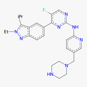 CCn1nc2ccc(-c3nc(Nc4ccc(CN5CCNCC5)cn4)ncc3F)cc2c1C(C)C